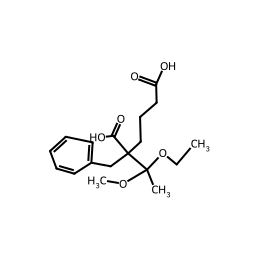 CCOC(C)(OC)C(CCCC(=O)O)(Cc1ccccc1)C(=O)O